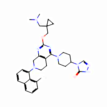 CCc1cccc2cccc(N3CCc4c(nc(OCC5(CN(C)C)CC5)nc4N4CCC(n5cn[nH]c5=O)CC4)C3)c12